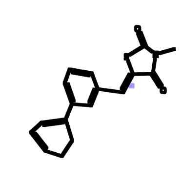 CN1C(=O)S/C(=C\c2cccc(C3=CC=CCC3)c2)C1=O